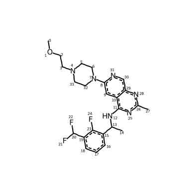 COCCN1CCN(c2cc3c(NC(C)c4cccc(C(F)F)c4F)nc(C)nc3cn2)CC1